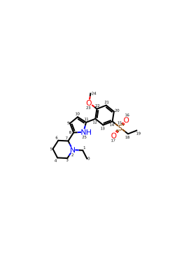 CCN1CCCCC1c1ccc(-c2cc(S(=O)(=O)CC)ccc2OC)[nH]1